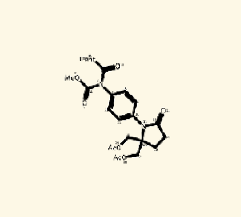 CCCC(C)C(=O)N(C(=O)OC)c1ccc(N2C(=O)CCC2(COC(C)=O)COC(C)=O)cc1